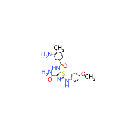 COc1ccc(Nc2nc(C(N)=O)c(NC(=O)c3ccc(C)c(N)c3)s2)cc1